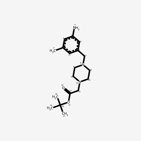 Cc1cc(N)cc(CN2CCN(CC(=O)OC(C)(C)C)CC2)c1